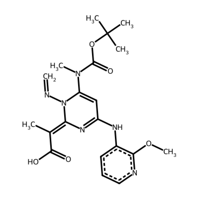 C=NN1C(N(C)C(=O)OC(C)(C)C)=CC(Nc2cccnc2OC)=N/C1=C(/C)C(=O)O